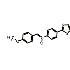 COc1ccc(C=[N+]([O-])c2ccc(-c3nccs3)cc2)cc1